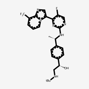 C[C@H](Nc1ncc(F)c(-c2cnc3c(C(F)(F)F)cccn23)n1)c1ccc([C@H](O)CNC(C)(C)C)cc1